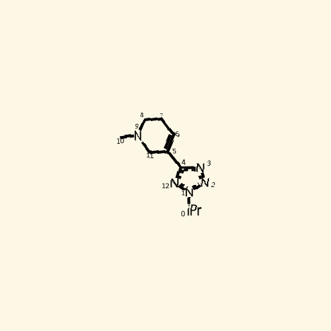 CC(C)n1nnc(C2=CCCN(C)C2)n1